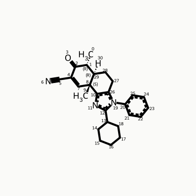 C[C@H]1C(=O)C(C#N)=C[C@@]2(C)c3nc(C4CCCCC4)n(-c4ccccc4)c3CC[C@H]12